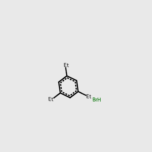 Br.CCc1cc(CC)cc(CC)c1